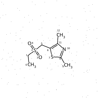 CCS(=O)(=O)Cc1sc(C)nc1C